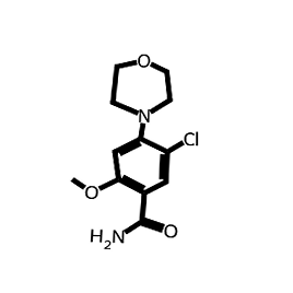 COc1cc(N2CCOCC2)c(Cl)cc1C(N)=O